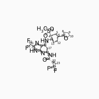 CS(=O)(=O)c1cc([C@H]2CCCO2)ccc1Nc1cc(NC(=O)[C@@H]2CC2(F)F)nc2[nH]c(C(F)F)nc12